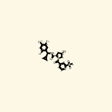 CC[C@@H]1C[C@H](C(=O)NC(c2cc(F)c(Cl)cc2F)C2CC2)N(C(=O)c2ccnc(S(C)(=O)=O)c2)C1